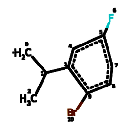 [CH2]C(C)c1cc(F)ccc1Br